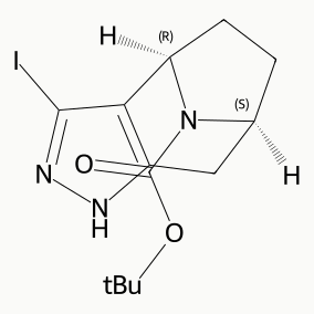 CC(C)(C)OC(=O)N1[C@H]2CC[C@@H]1c1c(I)n[nH]c1C2